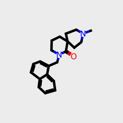 CN1CCC2(CCCN(Cc3cccc4ccccc34)C2=O)CC1